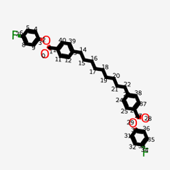 O=C(Oc1ccc(F)cc1)c1ccc(CCCCCCCCCc2ccc(C(=O)Oc3ccc(F)cc3)cc2)cc1